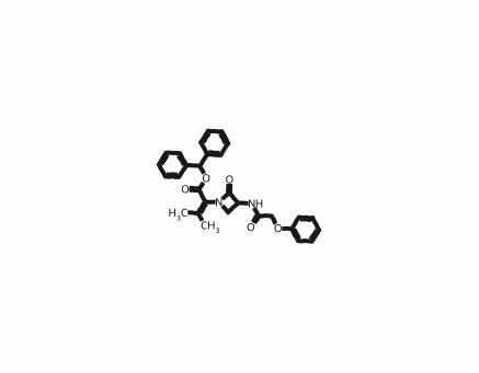 CC(C)=C(C(=O)OC(c1ccccc1)c1ccccc1)N1CC(NC(=O)COc2ccccc2)C1=O